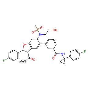 CNC(=O)C1c2cc(-c3cccc(C(=O)NC4(c5ccc(F)cc5)CC4)c3)c(N(CCO)S(C)(=O)=O)cc2OC1c1ccc(F)cc1